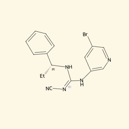 CC[C@@H](N/C(=N\C#N)Nc1cncc(Br)c1)c1ccccc1